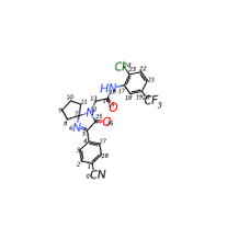 N#Cc1ccc(C2=NC3(CCCC3)N(CC(=O)Nc3cc(C(F)(F)F)ccc3Cl)C2=O)cc1